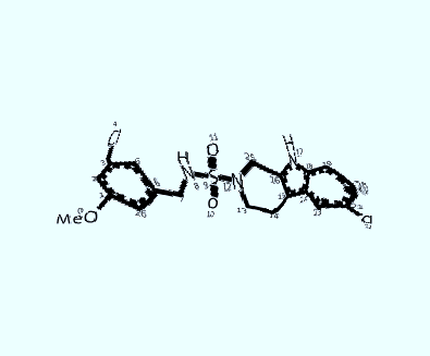 COc1cc(Cl)cc(CNS(=O)(=O)N2CCc3c([nH]c4ccc(Cl)cc34)C2)c1